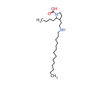 CCCCCCCCCCCCCCNCCC1CCN(C(=O)O)C1CCCC